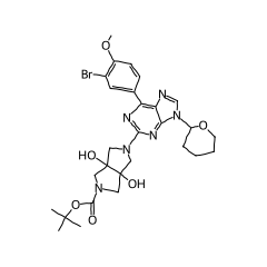 COc1ccc(-c2nc(N3CC4(O)CN(C(=O)OC(C)(C)C)CC4(O)C3)nc3c2ncn3C2CCCCO2)cc1Br